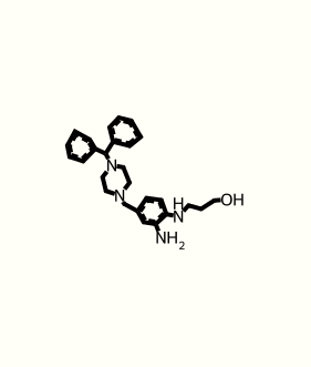 Nc1cc(CN2CCN(C(c3ccccc3)c3ccccc3)CC2)ccc1NCCCO